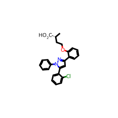 C[C@H](CCOc1ccccc1-c1cc(-c2ccccc2Cl)n(-c2ccccc2)n1)C(=O)O